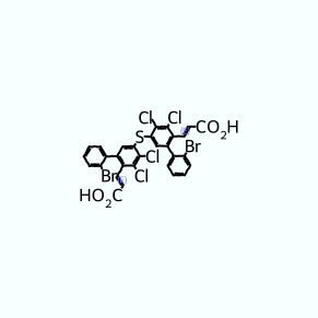 O=C(O)/C=C/c1c(-c2ccccc2Br)cc(Sc2cc(-c3ccccc3Br)c(/C=C/C(=O)O)c(Cl)c2Cl)c(Cl)c1Cl